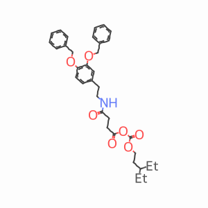 CCC(CC)CCOC(=O)OC(=O)CCC(=O)NCCc1ccc(OCc2ccccc2)c(OCc2ccccc2)c1